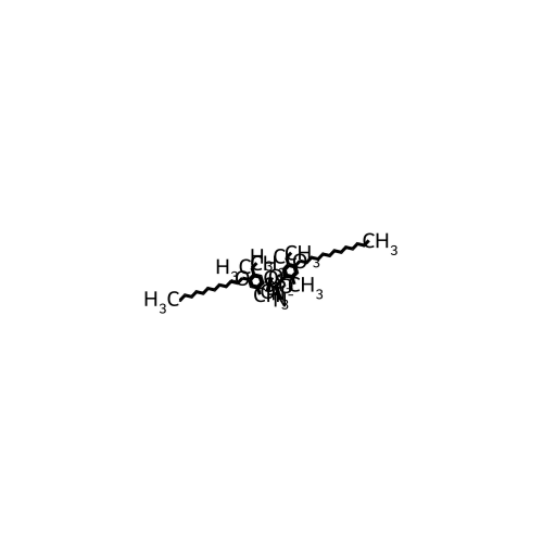 CCCCCCCCCCCCOc1cc(C)c(S(=O)(=O)C(=[N+]=[N-])S(=O)(=O)c2cc(C(C)C)c(OCCCCCCCCCCCC)cc2C)cc1C(C)C